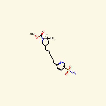 CC(C)(C)OC(=O)N1CC(CCCCCc2ccc(S(N)(=O)=O)cn2)CC1(C)C